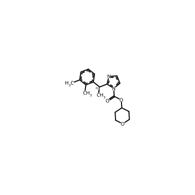 Cc1cccc([C@H](C)c2nccn2C(=O)OC2CCOCC2)c1C